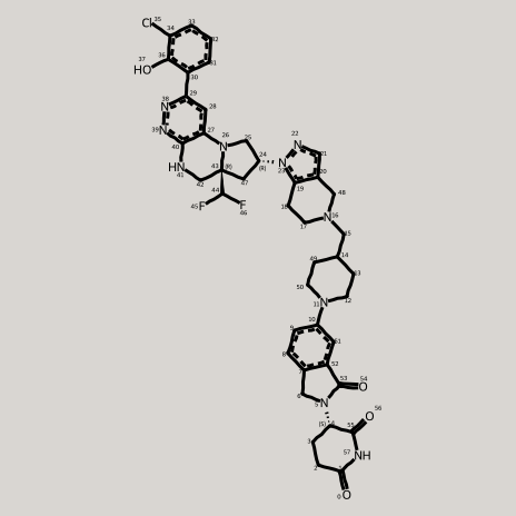 O=C1CC[C@H](N2Cc3ccc(N4CCC(CN5CCc6c(cnn6[C@H]6CN7c8cc(-c9cccc(Cl)c9O)nnc8NC[C@@]7(C(F)F)C6)C5)CC4)cc3C2=O)C(=O)N1